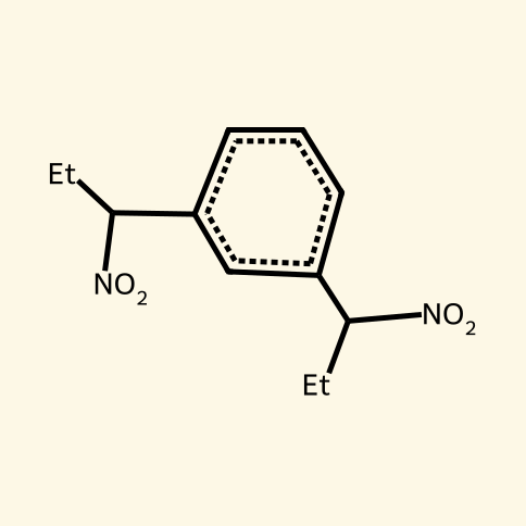 CCC(c1cccc(C(CC)[N+](=O)[O-])c1)[N+](=O)[O-]